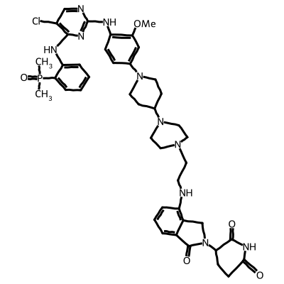 COc1cc(N2CCC(N3CCN(CCNc4cccc5c4CN(C4CCC(=O)NC4=O)C5=O)CC3)CC2)ccc1Nc1ncc(Cl)c(Nc2ccccc2P(C)(C)=O)n1